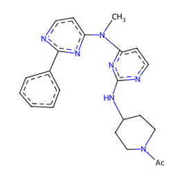 CC(=O)N1CCC(Nc2nccc(N(C)c3ccnc(-c4ccccc4)n3)n2)CC1